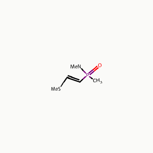 CNP(C)(=O)/C=C/SC